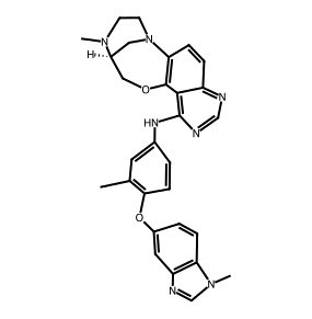 Cc1cc(Nc2ncnc3ccc4c(c23)OC[C@@H]2CN4CCN2C)ccc1Oc1ccc2c(c1)ncn2C